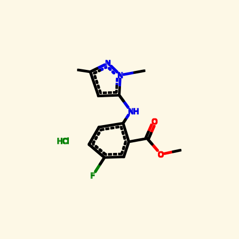 COC(=O)c1cc(F)ccc1Nc1cc(C)nn1C.Cl